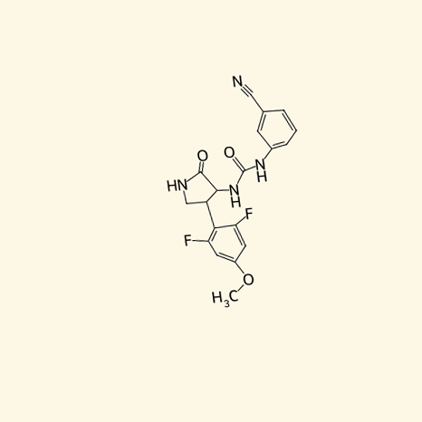 COc1cc(F)c(C2CNC(=O)C2NC(=O)Nc2cccc(C#N)c2)c(F)c1